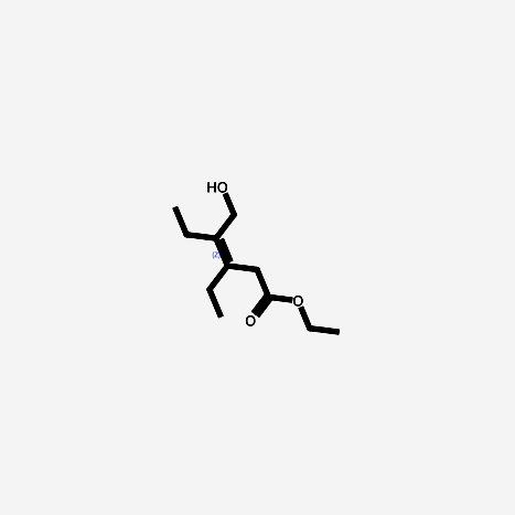 CCOC(=O)C/C(CC)=C(/CC)CO